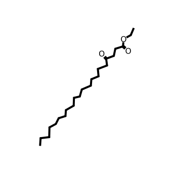 CCCCCCCCCCCCCCCCCC(=O)CCC(=O)OCC